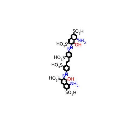 Nc1cc(S(=O)(=O)O)cc2cc(S(=O)(=O)O)c(N=Nc3ccc(/C=C/c4ccc(N=NC5=C(O)C6C(=CC(S(=O)(=O)O)=CC6N)C=C5S(=O)(=O)O)cc4S(=O)(=O)O)c(S(=O)(=O)O)c3)c(O)c12